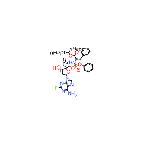 CCCCCCCC(CCCCCCC)OC(=O)[C@H](Cc1ccccc1)N[P@@](=O)(OC[C@@]1(C)O[C@@H](n2cnc3c(N)nc(F)nc32)C[C@@H]1O)Oc1ccccc1